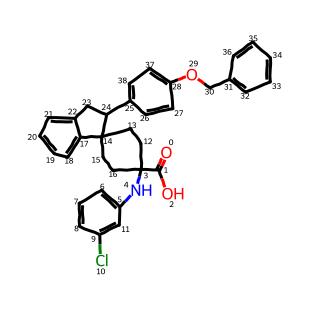 O=C(O)C1(Nc2cccc(Cl)c2)CCC2(CC1)c1ccccc1CC2c1ccc(OCc2ccccc2)cc1